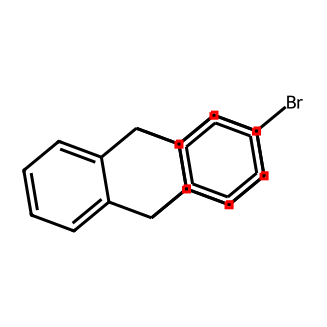 Brc1ccc2c(c1)C1c3ccccc3C2c2ccccc21